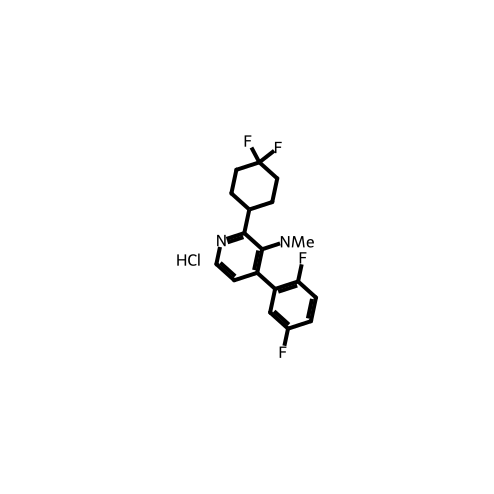 CNc1c(-c2cc(F)ccc2F)ccnc1C1CCC(F)(F)CC1.Cl